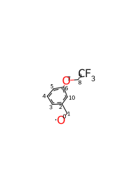 [O]Cc1cccc(OCC(F)(F)F)c1